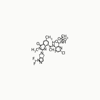 Cc1cc([C@@H](C)Nc2ccc(Cl)nc2C(=O)NS(C)(=O)=O)c2nc(N3Cc4cnn(C(F)F)c4C3)n(C)c(=O)c2c1